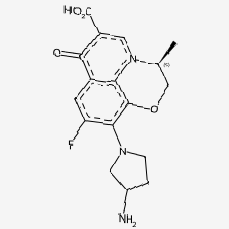 C[C@H]1COc2c(N3CCC(N)C3)c(F)cc3c(=O)c(C(=O)O)cn1c23